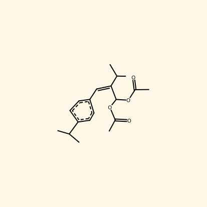 CC(=O)OC(OC(C)=O)C(=Cc1ccc(C(C)C)cc1)C(C)C